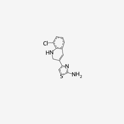 Nc1nc(C2=Cc3cccc(Cl)c3NC2)cs1